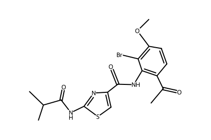 COc1ccc(C(C)=O)c(NC(=O)c2csc(NC(=O)C(C)C)n2)c1Br